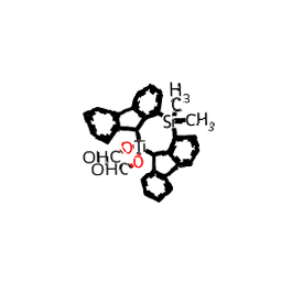 C[Si]1(C)c2cccc3c2[CH](c2ccccc2-3)[Ti]([O]C=O)([O]C=O)[CH]2c3ccccc3-c3cccc1c32